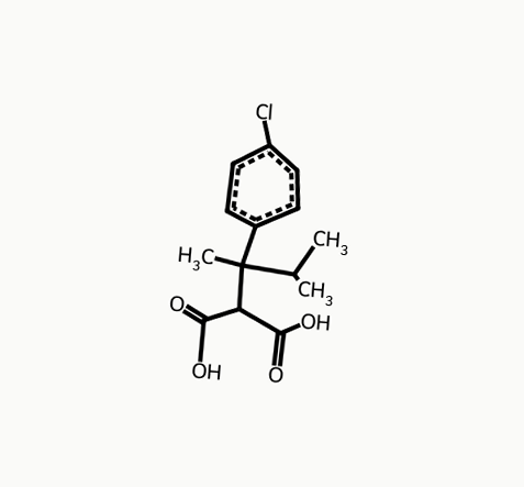 CC(C)C(C)(c1ccc(Cl)cc1)C(C(=O)O)C(=O)O